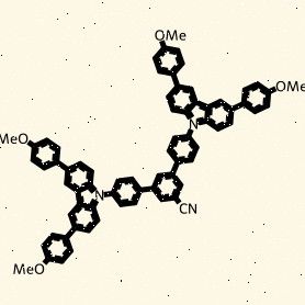 COc1ccc(-c2ccc3c(c2)c2cc(-c4ccc(OC)cc4)ccc2n3-c2ccc(-c3cc(C#N)cc(-c4ccc(-n5c6ccc(-c7ccc(OC)cc7)cc6c6cc(-c7ccc(OC)cc7)ccc65)cc4)c3)cc2)cc1